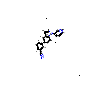 N#Cc1cccc(-c2ccc3c(ccn3-c3cccnc3)c2)c1